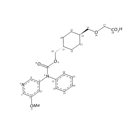 COc1cncc(N(C(=O)OC[C@H]2CC[C@H](COCC(=O)O)CC2)c2ccccc2)c1